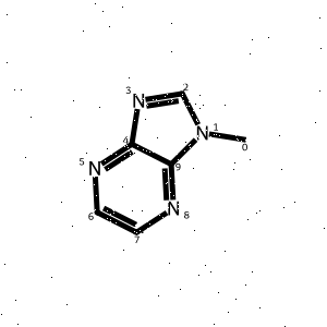 Cn1cnc2nc[c]nc21